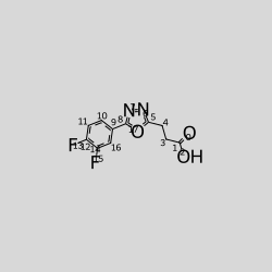 O=C(O)CCc1nnc(-c2ccc(F)c(F)c2)o1